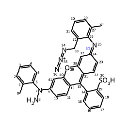 Cc1ccccc1N(N)c1ccc2c(-c3ccccc3S(=O)(=O)O)c3cc/c(=N/c4c(C)cccc4CN=[N+]=[N-])cc-3oc2c1